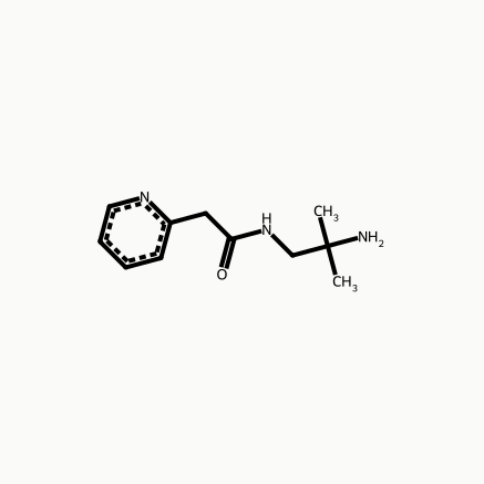 CC(C)(N)CNC(=O)Cc1ccccn1